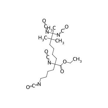 CCOC(=O)C(CCCCN=C=O)(CCCCC(C)(C)C(C)(N=C=O)N=C=O)N=C=O